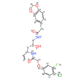 C=CC(CC(O)CNC(=O)Cc1ccc2c(c1)OCO2)NC(=O)COc1ccc(Cl)c(F)c1